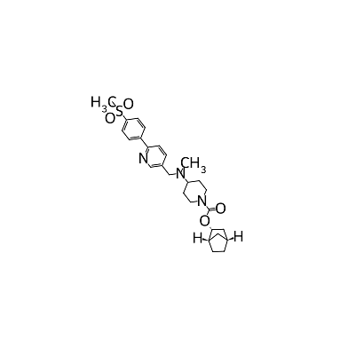 CN(Cc1ccc(-c2ccc(S(C)(=O)=O)cc2)nc1)C1CCN(C(=O)O[C@@H]2C[C@@H]3CC[C@H]2C3)CC1